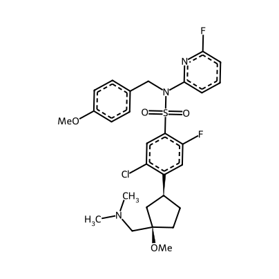 COc1ccc(CN(c2cccc(F)n2)S(=O)(=O)c2cc(Cl)c([C@H]3CC[C@@](CN(C)C)(OC)C3)cc2F)cc1